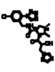 CC1[C@@H](C)C[C@@H](C(=O)NCc2cc(Cl)ccc2-n2cnnn2)N1C(=O)C(O)Cn1cncn1